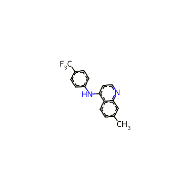 Cc1ccc2c(Nc3ccc(C(F)(F)F)cc3)ccnc2c1